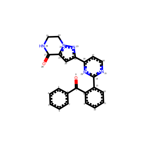 O=C(c1ccccc1)c1ccccc1-c1nccc(-c2cc3n(n2)CCNC3=O)n1